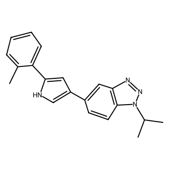 Cc1ccccc1-c1cc(-c2ccc3c(c2)nnn3C(C)C)c[nH]1